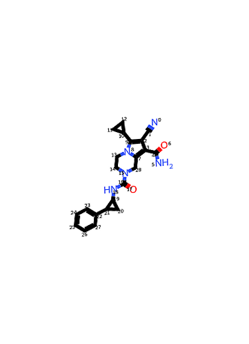 N#Cc1c(C(N)=O)c2n(c1C1CC1)CCN(C(=O)NC1CC1c1ccccc1)C2